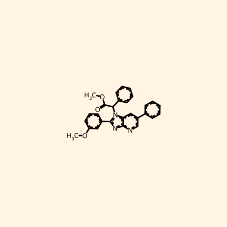 COC(=O)C(c1ccccc1)n1c(-c2cccc(OC)c2)nc2ncc(-c3ccccc3)cc21